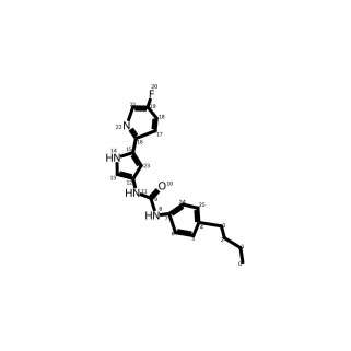 CCCCc1ccc(NC(=O)Nc2c[nH]c(-c3ccc(F)cn3)c2)cc1